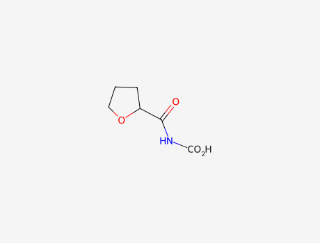 O=C(O)NC(=O)C1CCCO1